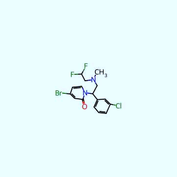 CN(CC(F)F)CC(c1cccc(Cl)c1)n1ccc(Br)cc1=O